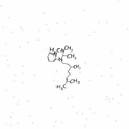 CC(C)=CCCC(C)CCN(c1ccccn1)C(C)N(C)C